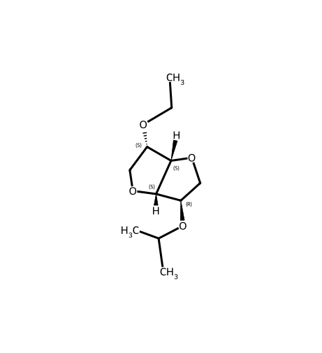 CCO[C@H]1CO[C@@H]2[C@H]1OC[C@H]2OC(C)C